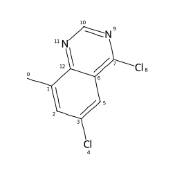 Cc1cc(Cl)cc2c(Cl)ncnc12